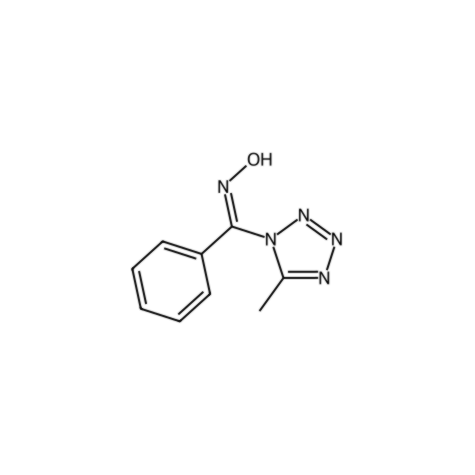 Cc1nnnn1C(=NO)c1ccccc1